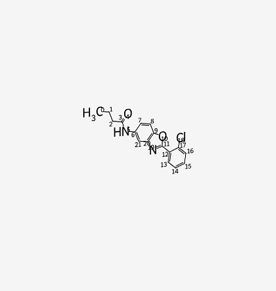 CCCC(=O)Nc1ccc2oc(-c3ccccc3Cl)nc2c1